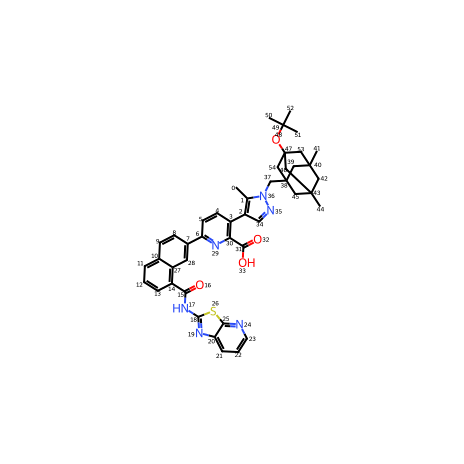 Cc1c(-c2ccc(-c3ccc4cccc(C(=O)Nc5nc6cccnc6s5)c4c3)nc2C(=O)O)cnn1CC12CC3(C)CC(C)(C1)CC(OC(C)(C)C)(C3)C2